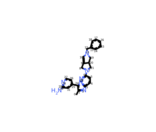 Cc1nc2ccc(N3CC4=CN(Cc5ccccc5)CC4C3)nn2c1-c1ccnc(N)c1